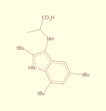 CC(Nc1c(C(C)(C)C)[nH]c2c(C(C)(C)C)cc(C(C)(C)C)cc12)C(=O)O